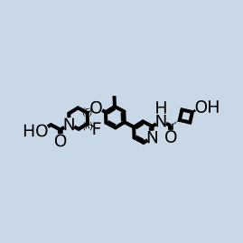 Cc1cc(-c2ccnc(NC(=O)[C@H]3C[C@H](O)C3)c2)ccc1O[C@H]1CCN(C(=O)CO)C[C@H]1F